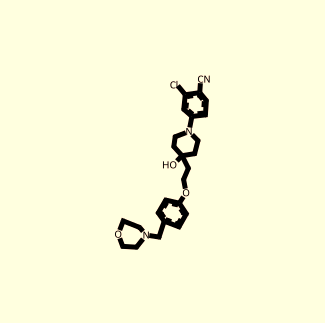 N#Cc1ccc(N2CCC(O)(CCOc3ccc(CN4CCOCC4)cc3)CC2)cc1Cl